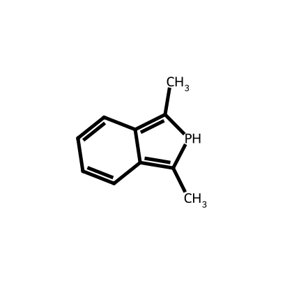 Cc1[pH]c(C)c2ccccc12